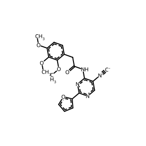 [C-]#[N+]c1cnc(-c2ccco2)nc1NC(=O)Cc1ccc(OC)c(OC)c1OC